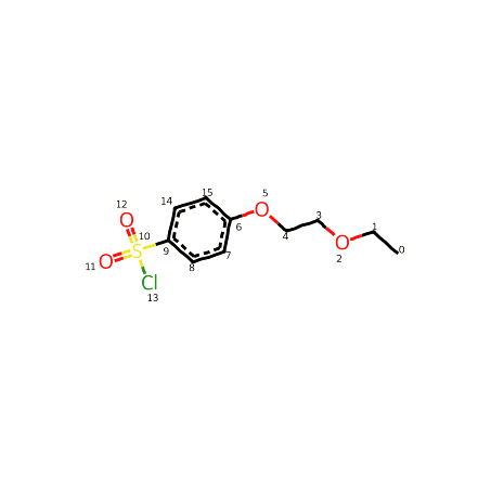 CCOCCOc1ccc(S(=O)(=O)Cl)cc1